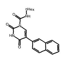 CCCCCCNC(=O)n1cc(-c2ccc3ccccc3c2)c(=O)[nH]c1=O